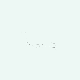 O=C1NC(CNCc2cccc(C(=O)Nc3ccc(S(=O)(=O)N4CCN(c5cc(C(F)(F)F)cc(Cl)n5)CC4)cc3)c2)CO1